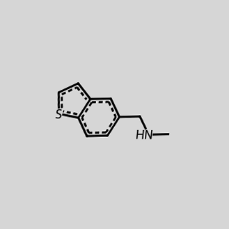 CNCc1ccc2sccc2c1